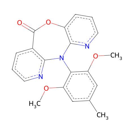 COc1cc(C)cc(OC)c1N1c2ncccc2OC(=O)c2cccnc21